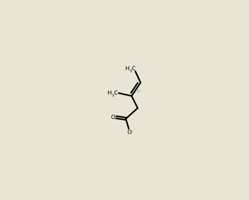 C/C=C(\C)CC([O])=O